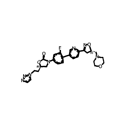 O=C1O[C@H](CCn2ccnn2)CN1c1ccc(-c2ccc(C3=NO[C@H](CN4CCOCC4)C3)nc2)c(F)c1